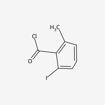 Cc1cccc(I)c1C(=O)Cl